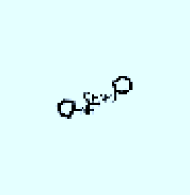 O=C(CNOc1ccccc1)Nc1ccccc1